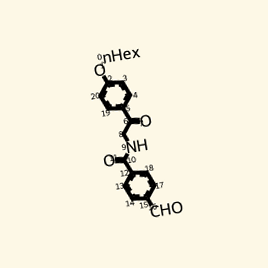 CCCCCCOc1ccc(C(=O)CNC(=O)c2ccc(C=O)cc2)cc1